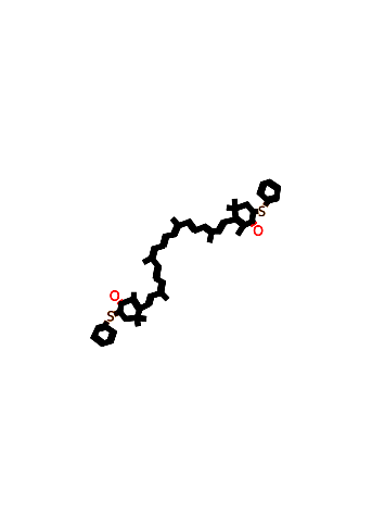 CC(C=CC=C(C)C=CC1=C(C)C(=O)C(Sc2ccccc2)CC1(C)C)=CC=CC=C(C)C=CC=C(C)C=CC1=C(C)C(=O)C(Sc2ccccc2)CC1(C)C